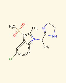 Cc1c(S(C)(=O)=O)c2cc(Cl)ccc2n1C(C)C1=NCCN1